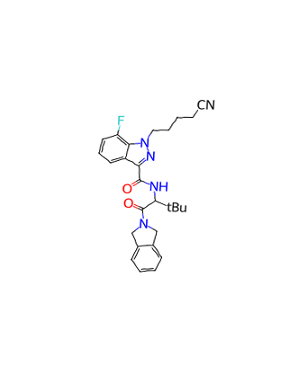 CC(C)(C)C(NC(=O)c1nn(CCCCC#N)c2c(F)cccc12)C(=O)N1Cc2ccccc2C1